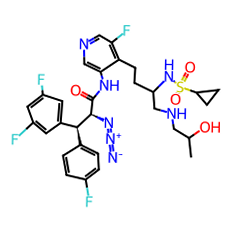 CC(O)CNCC(CCc1c(F)cncc1NC(=O)[C@@H](N=[N+]=[N-])[C@@H](c1ccc(F)cc1)c1cc(F)cc(F)c1)NS(=O)(=O)C1CC1